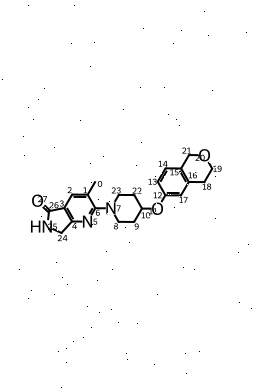 Cc1cc2c(nc1N1CCC(Oc3ccc4c(c3)CCOC4)CC1)CNC2=O